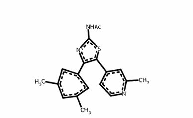 CC(=O)Nc1nc(-c2cc(C)cc(C)c2)c(-c2ccnc(C)c2)s1